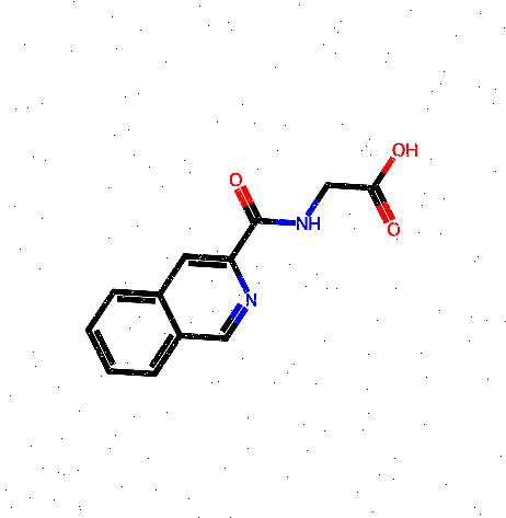 O=C(O)CNC(=O)c1cc2ccccc2cn1